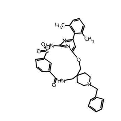 Cc1cccc(C)c1-c1cc2nc(n1)NS(=O)(=O)c1cccc(c1)C(=O)NCC1(CCN(Cc3ccccc3)CC1)CO2